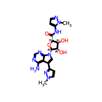 Cn1ccc(-c2cn([C@@H]3O[C@H](C(=O)Nc4ccnn4C)[C@@H](O)[C@H]3O)c3ncnc(N)c23)n1